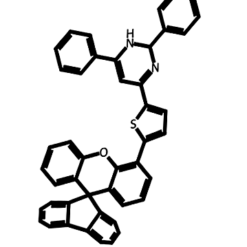 C1=C(c2ccccc2)NC(c2ccccc2)N=C1c1ccc(-c2cccc3c2Oc2ccccc2C32c3ccccc3-c3ccccc32)s1